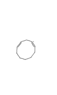 [C]1=C\CCCCC/C=C\C/1